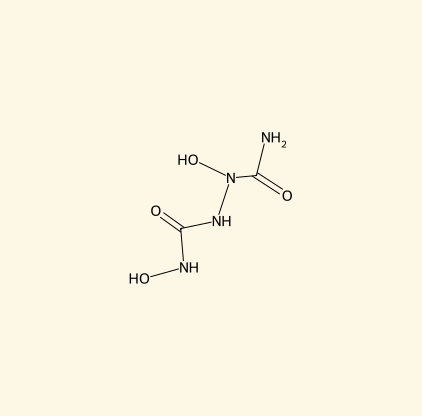 NC(=O)N(O)NC(=O)NO